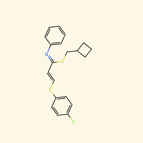 Fc1ccc(SC=CC(=Nc2ccccc2)SCC2CCC2)cc1